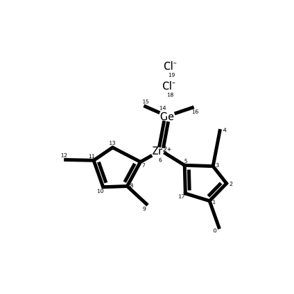 CC1=CC(C)[C]([Zr+2]([C]2=C(C)C=C(C)C2)=[Ge]([CH3])[CH3])=C1.[Cl-].[Cl-]